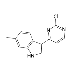 Cc1ccc2c(-c3ccnc(Cl)n3)c[nH]c2c1